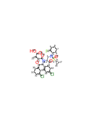 CCC(CN(c1ccccc1F)S(=O)(=O)C1CC1)N1C(=O)[C@H](C(C)C(=O)O)O[C@H](c2cccc(Cl)c2)[C@H]1c1ccc(Cl)cc1